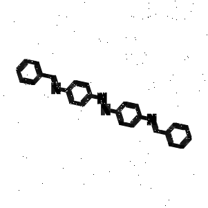 C(=Nc1ccc(N=Nc2ccc(N=Cc3ccccc3)cc2)cc1)c1ccccc1